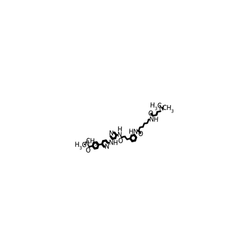 CN(C)C/C=C/C(=O)NCCCCCC(=O)Nc1cccc(CCC(=O)Nc2cncc(Nc3ccc(-c4ccc(C(=O)N(C)C)cc4)cn3)c2)c1